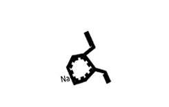 C=Cc1ccccc1C=C.[Na]